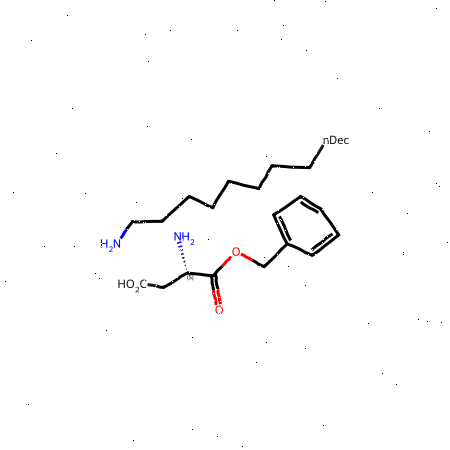 CCCCCCCCCCCCCCCCCCN.N[C@@H](CC(=O)O)C(=O)OCc1ccccc1